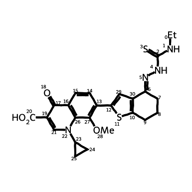 CCNC(=S)NN=C1CCCc2sc(-c3ccc4c(=O)c(C(=O)O)cn(C5CC5)c4c3OC)cc21